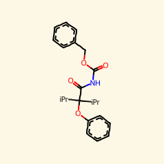 CC(C)C(Oc1ccccc1)(C(=O)NC(=O)OCc1ccccc1)C(C)C